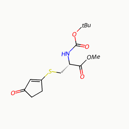 COC(=O)[C@H](CSC1=CC(=O)CC1)NC(=O)OC(C)(C)C